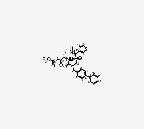 C[C@H](NC(=O)[C@H](Cc1ccc(-c2ccccc2)cc1)CP(=O)(O)C(N)c1ccsc1)C(=O)OC(=O)C(F)(F)F